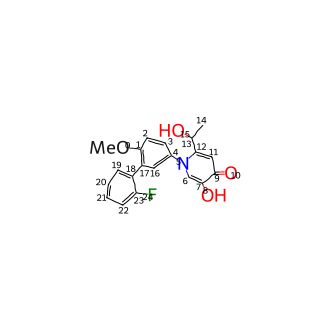 COc1ccc(-n2cc(O)c(=O)cc2C(C)O)cc1-c1ccccc1F